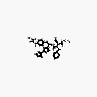 COC(=O)N(C#N)[C@@H](Cc1ccccc1)C(=O)NC(Cc1ccc(NS(=O)(=O)O)cc1)c1csc(-c2cccs2)n1